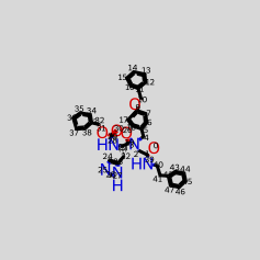 O=C(CN(Cc1ccc(OCc2ccccc2)cc1)C(=O)[C@H](Cc1cnc[nH]1)NC(=O)OCc1ccccc1)NCCc1ccccc1